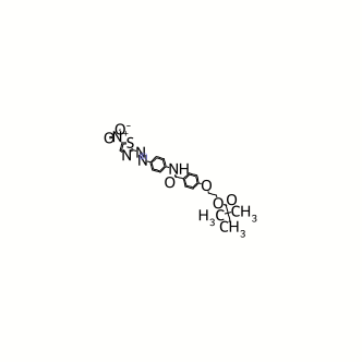 CCC(C)(C)C(=O)OCCOc1ccc(C(=O)Nc2ccc(/N=N/c3ncc([N+](=O)[O-])s3)cc2)cc1